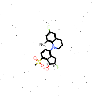 CS(=O)(=O)c1ccc(N2CCCc3cc(F)cc(C#N)c32)c2c1[C@H](O)[C@H](F)C2